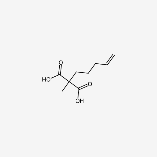 C=CCCCC(C)(C(=O)O)C(=O)O